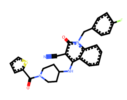 N#Cc1c(NC2CCN(C(=O)c3cccs3)CC2)c2ccccc2n(Cc2ccc(F)cc2)c1=O